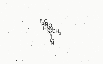 Cc1nc(NC(=O)NCC(F)(F)F)sc1C#Cc1ccncc1